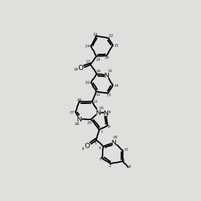 Cc1ccc(C(=O)c2cnn3c(-c4ccnc(C(=O)c5ccccc5)c4)ccnc23)nc1